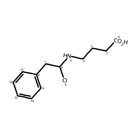 O=C(O)CCCNC(Cl)Cc1ccccc1